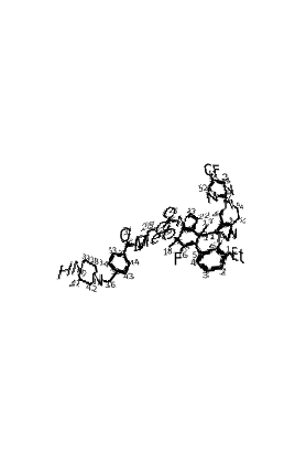 CCc1cccc2c1-n1nc3c(c1C1(C)C2=C(F)C(C)(OC)c2c1ccn2C(=O)OCOC(=O)c1ccc(CN2CCNCC2)cc1)CN(c1ncc(C(F)(F)F)cn1)CC3